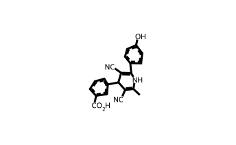 CC1=C(C#N)C(c2cccc(C(=O)O)c2)C(C#N)=C(c2ccc(O)cc2)N1